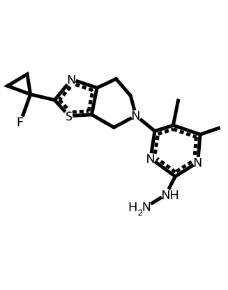 Cc1nc(NN)nc(N2CCc3nc(C4(F)CC4)sc3C2)c1C